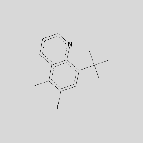 Cc1c(I)cc(C(C)(C)C)c2ncccc12